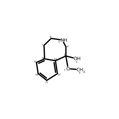 COC1(O)CNCCc2ccccc21